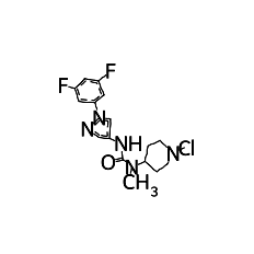 CN(C(=O)Nc1cnn(-c2cc(F)cc(F)c2)c1)C1CCN(Cl)CC1